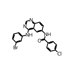 O=C(Nc1ccc2ncnc(Nc3cccc(Br)c3)c2c1)c1ccc(Cl)cc1